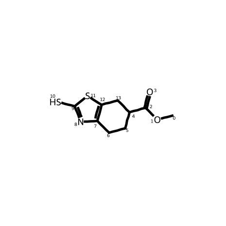 COC(=O)C1CCc2nc(S)sc2C1